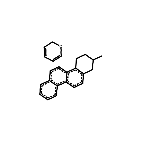 C1=CCOC=C1.CC1CCc2c(ccc3c2ccc2ccccc23)C1